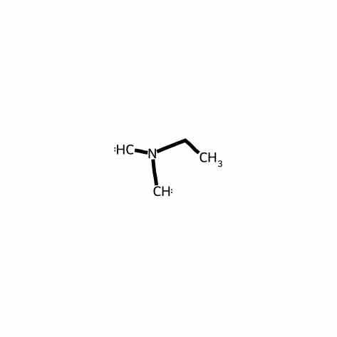 [CH]N([CH])CC